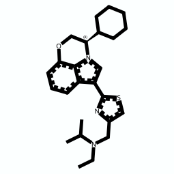 CCN(Cc1csc(-c2cn3c4c(cccc24)OC[C@H]3C2CCCCC2)n1)C(C)C